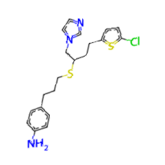 Nc1ccc(CCCSC(CCc2ccc(Cl)s2)Cn2ccnc2)cc1